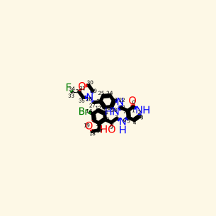 O=c1[nH]ccc(NC[C@@H](O)c2ccc(Br)c3c2CCO3)c1-c1nc2ccc(CN3CCO[C@@H](CF)C3)cc2[nH]1